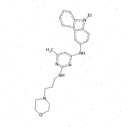 CCn1c2ccccc2c2cc(Nc3cc(C)nc(NCCCN4CCOCC4)n3)ccc21